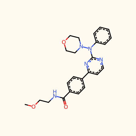 COCCNC(=O)c1ccc(-c2ccnc(N(c3ccccc3)N3CCOCC3)n2)cc1